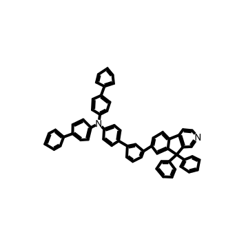 c1ccc(-c2ccc(N(c3ccc(-c4ccccc4)cc3)c3ccc(-c4cccc(-c5ccc6c(c5)C(c5ccccc5)(c5ccccc5)c5cnccc5-6)c4)cc3)cc2)cc1